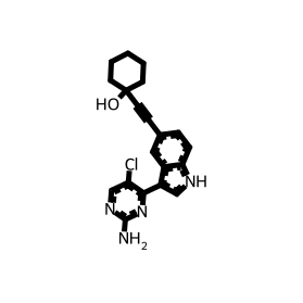 Nc1ncc(Cl)c(-c2c[nH]c3ccc(C#CC4(O)CCCCC4)cc23)n1